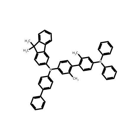 Cc1cc(N(c2ccccc2)c2ccccc2)ccc1-c1ccc(N(c2ccc(-c3ccccc3)cc2)c2ccc3c(c2)-c2ccccc2C3(C)C)cc1C